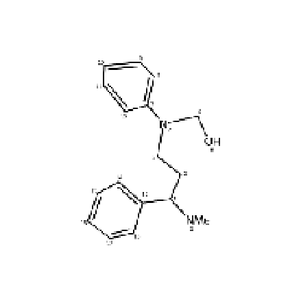 CNC(CCN(CO)c1ccccc1)c1ccccc1